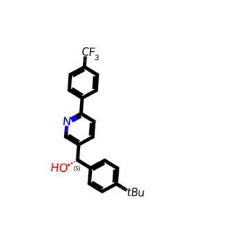 CC(C)(C)c1ccc([C@H](O)c2ccc(-c3ccc(C(F)(F)F)cc3)nc2)cc1